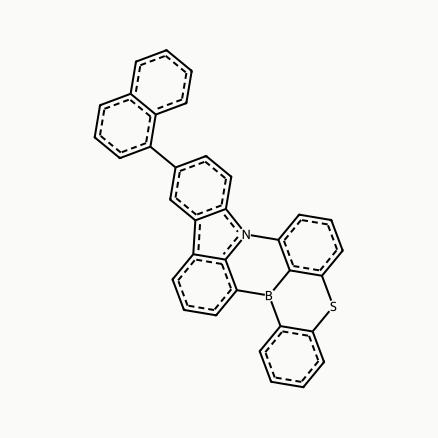 c1ccc2c(c1)Sc1cccc3c1B2c1cccc2c4cc(-c5cccc6ccccc56)ccc4n-3c12